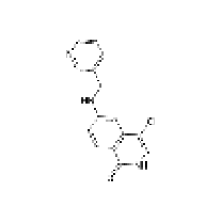 O=c1[nH]nc(Cl)c2cc(NCc3cccnc3)ccc12